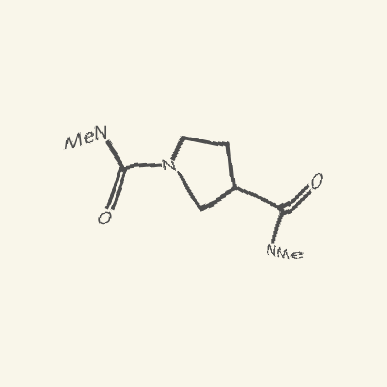 CNC(=O)C1CCN(C(=O)NC)C1